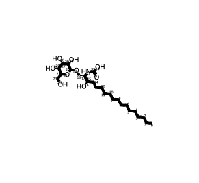 CCCCCCCCCCCCCCC[C@@H](O)[C@H](CO[C@H]1OC(CO)[C@H](O)[C@H](O)C1O)NC(=O)O